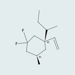 C=C[C@]1(C(C)CC)C[C@@H](C)CC(F)(F)C1